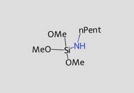 CCCCCN[Si](OC)(OC)OC